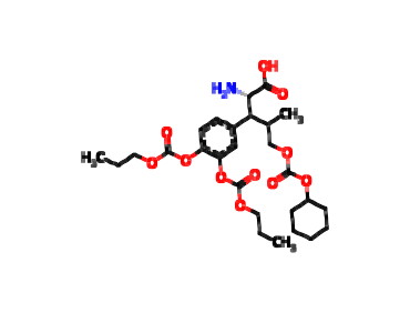 CCCOC(=O)Oc1ccc(C(C(C)COC(=O)OC2CCCCC2)[C@H](N)C(=O)O)cc1OC(=O)OCCC